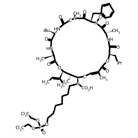 C/C=C(\C)[C@H]1OC(=O)[C@@H](C)NC(=O)[C@H]([C@H](C)CC)NC(=O)CN(C)C(=O)[C@@H](Cc2ccccc2)N(C)C(=O)[C@H](C)NC(=O)[C@@H](CC(C)C)OC(=O)/C(C)=C/C[C@@H](N(CCCCCCCOP(=O)(OCC(Cl)(Cl)Cl)OCC(Cl)(Cl)Cl)C(=O)O)[C@@H]1C